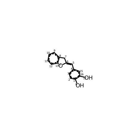 Oc1ccc(C=C2Cc3ccccc3O2)cc1O